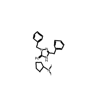 IN(I)C1CCCC1.[Pt]=[c]1[nH]c(Cc2ccccc2)nn1Cc1ccccc1